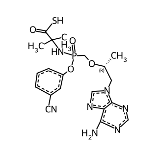 C[C@H](Cn1cnc2c(N)ncnc21)OCP(=O)(NC(C)(C)C(=O)S)Oc1cccc(C#N)c1